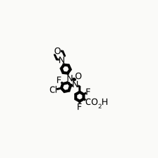 O=C(O)c1c(F)ccc(Cn2c(=O)n(-c3ccc(N4CCOCC4)cc3)c3c(F)c(Cl)ccc32)c1F